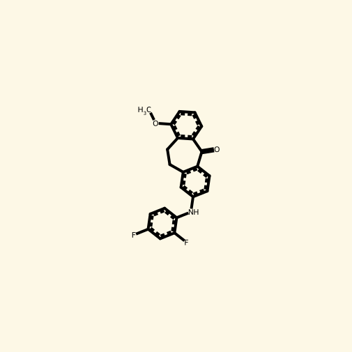 COc1cccc2c1CCc1cc(Nc3ccc(F)cc3F)ccc1C2=O